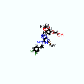 CCCSc1nc(N[C@@H]2C[C@H]2c2ccc(F)c(F)c2)c2nnn([C@@H]3C[C@H](OCCO)[C@H]4OC(CC)(CC)O[C@H]43)c2n1